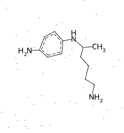 CC(CCCCN)Nc1ccc(N)cc1